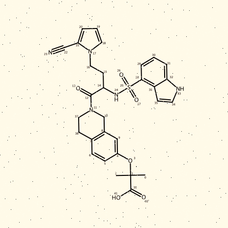 CC(C)(Oc1ccc2c(c1)CN(C(=O)C(CCn1cccc1C#N)NS(=O)(=O)c1cccc3[nH]ccc13)CC2)C(=O)O